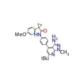 COc1ccc(C2(C(=O)Nc3ccc(-c4cc(C(C)(C)C)nc5c4c(N)nn5C)cc3)CC2)cc1